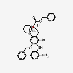 Nc1ccccc1Nc1c(OCc2ccccc2)cc2c(c1Br)C[C@H]1[C@H]3CCCC[C@@]23CCN1C(=O)OCc1ccccc1